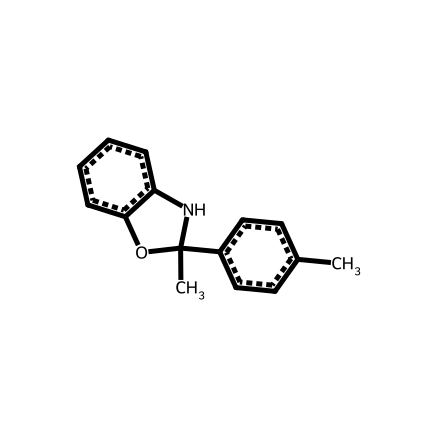 Cc1ccc(C2(C)Nc3ccccc3O2)cc1